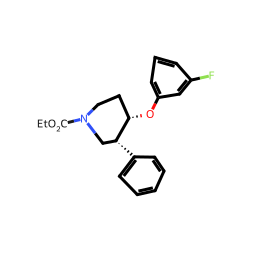 CCOC(=O)N1CC[C@H](Oc2cccc(F)c2)[C@H](c2ccccc2)C1